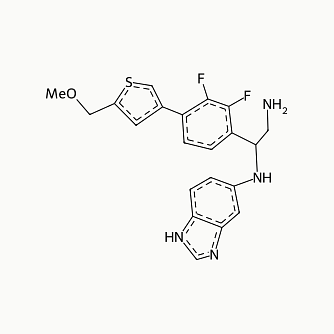 COCc1cc(-c2ccc(C(CN)Nc3ccc4[nH]cnc4c3)c(F)c2F)cs1